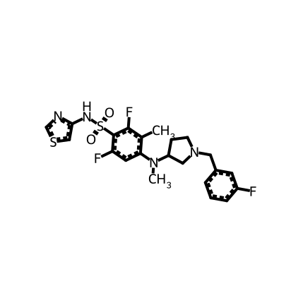 Cc1c(N(C)C2CCN(Cc3cccc(F)c3)C2)cc(F)c(S(=O)(=O)Nc2cscn2)c1F